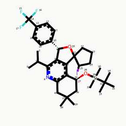 CC(C)c1nc2c(c3c1[C@H](c1ccc(C(F)(F)F)cc1)OC31CCCC1I)[C@@H](O[Si](C)(C)C(C)(C)C)CC(C)(C)C2